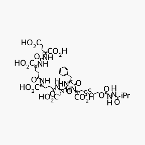 CC(C)C(=O)NNC(=O)OCCSSC[C@H](NC(=O)[C@H](Cc1ccccc1)NC(=O)[C@H](CC(=O)O)NC(=O)CC[C@H](NC(=O)CC[C@H](NC(=O)N[C@@H](CCC(=O)O)C(=O)O)C(=O)O)C(=O)O)C(=O)O